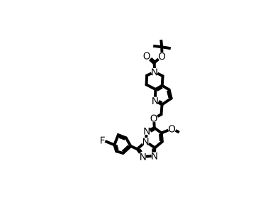 COc1cc2nnc(-c3ccc(F)cc3)n2nc1OCc1ccc2c(n1)CCN(C(=O)OC(C)(C)C)C2